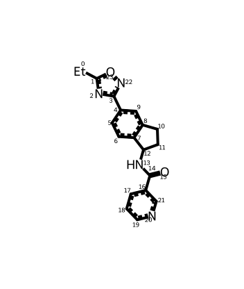 CCc1nc(-c2ccc3c(c2)CCC3NC(=O)c2cccnc2)no1